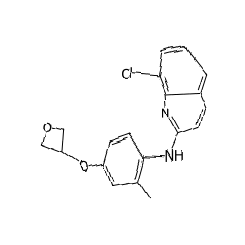 Cc1cc(OC2COC2)ccc1Nc1ccc2cccc(Cl)c2n1